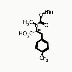 CN(C(=O)OC(C)(C)C)[C@H](Cc1ccc(C(F)(F)F)cc1)C(=O)O